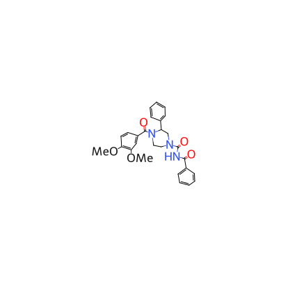 COc1ccc(C(=O)N2CCN(C(=O)NC(=O)c3ccccc3)CC2c2ccccc2)cc1OC